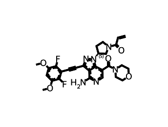 C=CC(=O)N1CC[C@H](n2nc(C#Cc3c(F)c(OC)cc(OC)c3F)c3c(N)ncc(C(=O)N4CCOCC4)c32)C1